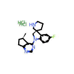 C[C@@H]1CCc2ncnc(N3C[C@@]4(CCCNC4)c4cc(F)ccc43)c21.Cl.Cl